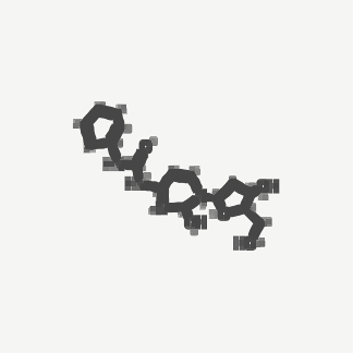 O=C(NC1=NC(O)N([C@H]2CC(O)[C@@H](CO)O2)C=C1)Nc1ccccc1